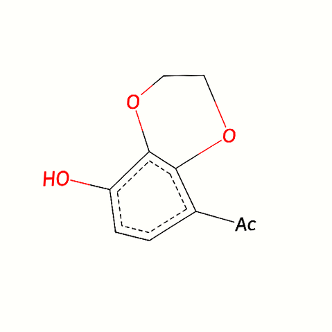 CC(=O)c1ccc(O)c2c1OCCO2